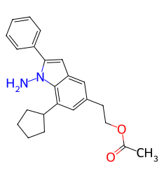 CC(=O)OCCc1cc(C2CCCC2)c2c(c1)cc(-c1ccccc1)n2N